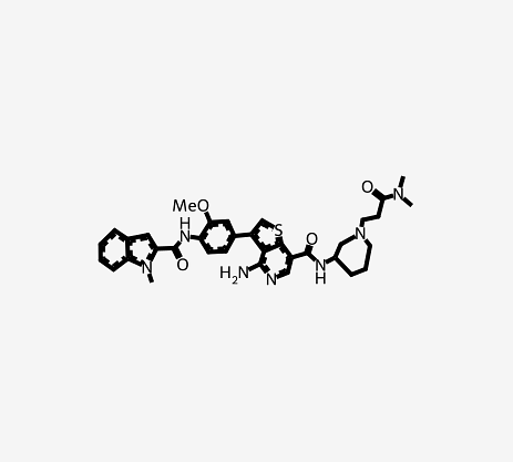 COc1cc(-c2csc3c(C(=O)NC4CCCN(CCC(=O)N(C)C)C4)cnc(N)c23)ccc1NC(=O)c1cc2ccccc2n1C